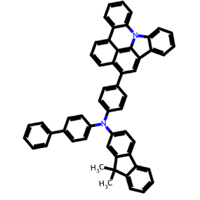 CC1(C)c2ccccc2-c2ccc(N(c3ccc(-c4ccccc4)cc3)c3ccc(-c4cc5c6ccccc6n6c7ccccc7c7cccc4c7c56)cc3)cc21